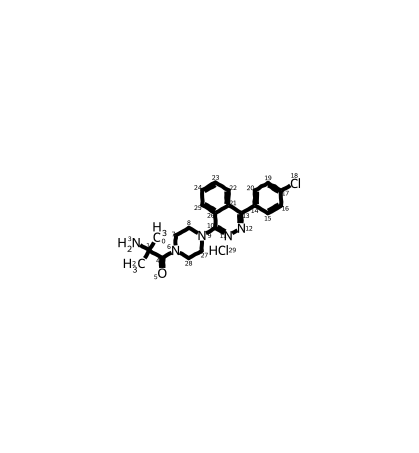 CC(C)(N)C(=O)N1CCN(c2nnc(-c3ccc(Cl)cc3)c3ccccc23)CC1.Cl